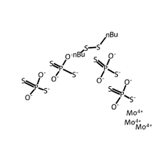 CCCCSSCCCC.[Mo+4].[Mo+4].[Mo+4].[O-]P([O-])(=S)[S-].[O-]P([O-])(=S)[S-].[O-]P([O-])(=S)[S-].[O-]P([O-])(=S)[S-]